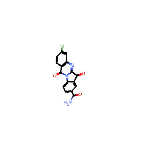 NC(=O)c1ccc2c(c1)C(=O)c1nc3cc(Cl)ccc3c(=O)n1-2